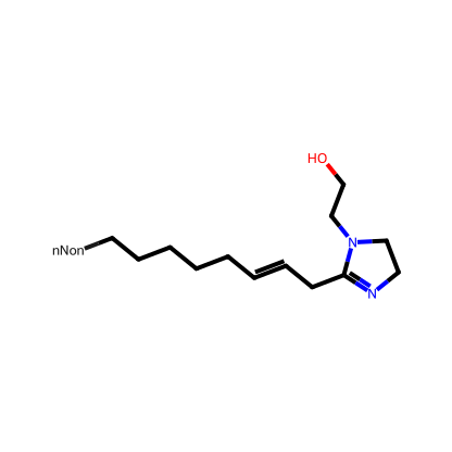 CCCCCCCCCCCCCCC=CCC1=NCCN1CCO